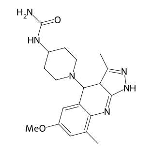 COc1cc(C)c2c(c1)C(N1CCC(NC(N)=O)CC1)C1C(C)=NNC1=N2